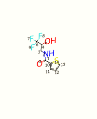 O=C(NCC(O)C(F)(F)F)c1cccs1